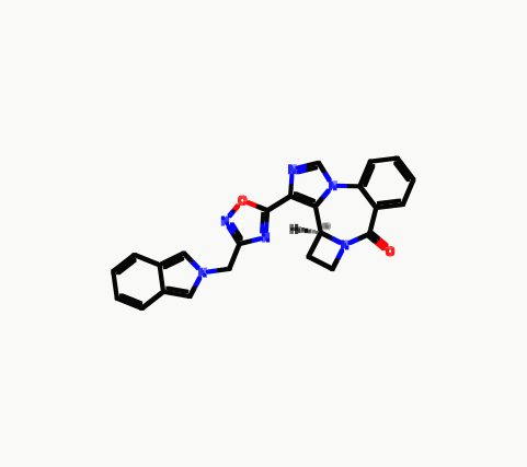 O=C1c2ccccc2-n2cnc(-c3nc(Cn4cc5ccccc5c4)no3)c2[C@@H]2CCN12